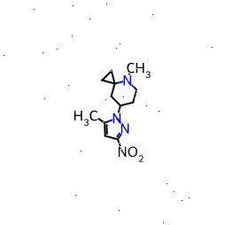 Cc1cc([N+](=O)[O-])nn1C1CCN(C)C2(CC2)C1